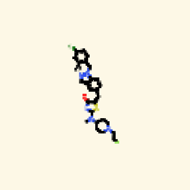 CN(C1=NC(=O)C(=Cc2ccc3c(cnn3Cc3ccc(Cl)cc3C(F)(F)F)c2)S1)C1CCN(CCF)CC1